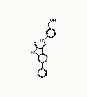 O=C1Nc2cc(-c3ccccc3)ccc2C1=CNc1cccc(CO)c1